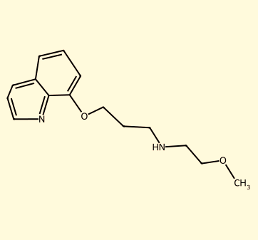 COCCNCCCOc1cccc2cccnc12